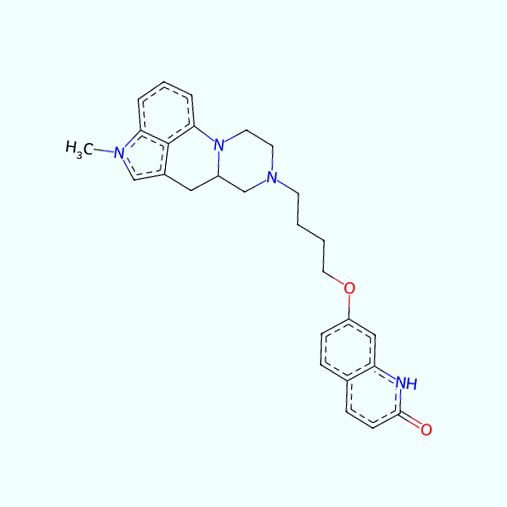 Cn1cc2c3c(cccc31)N1CCN(CCCCOc3ccc4ccc(=O)[nH]c4c3)CC1C2